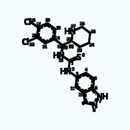 S=C(Nc1ccc2[nH]ncc2c1)N[C@@H](c1ccc(Cl)c(Cl)c1)[C@@H]1CCCCN1